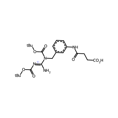 CC(C)(C)OC(=O)/N=C(\N)N(Cc1cccc(NC(=O)CCC(=O)O)c1)C(=O)OC(C)(C)C